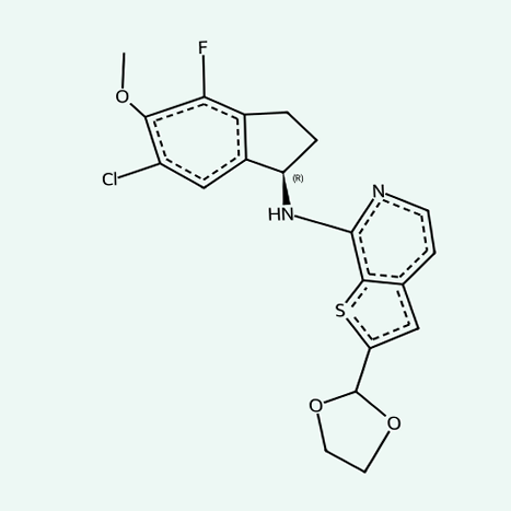 COc1c(Cl)cc2c(c1F)CC[C@H]2Nc1nccc2cc(C3OCCO3)sc12